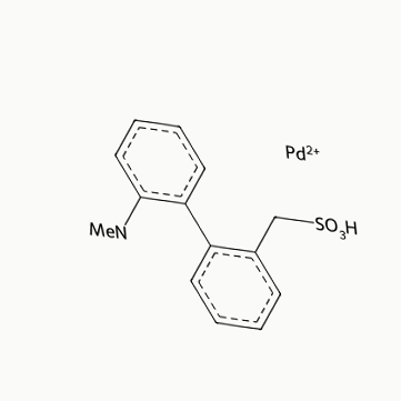 CNc1ccccc1-c1ccccc1CS(=O)(=O)O.[Pd+2]